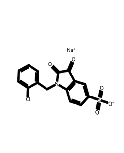 O=C1C(=O)N(Cc2ccccc2Cl)c2ccc(S(=O)(=O)[O-])cc21.[Na+]